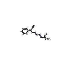 C#C[C@@H](C/C=C/C=C/C(=O)O)c1ccccc1